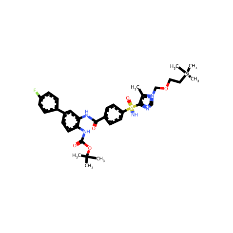 Cc1c(S(=N)(=O)c2ccc(C(=O)Nc3cc(-c4ccc(F)cc4)ccc3NC(=O)OC(C)(C)C)cc2)ncn1COCC[Si](C)(C)C